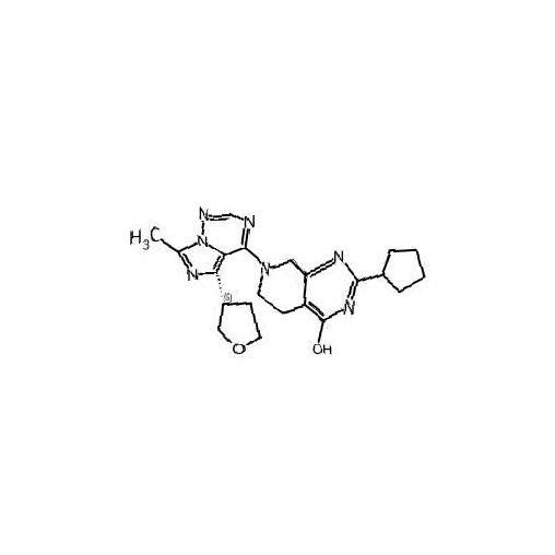 Cc1nc([C@@H]2CCOC2)c2c(N3CCc4c(O)nc(C5CCCC5)nc4C3)ncnn12